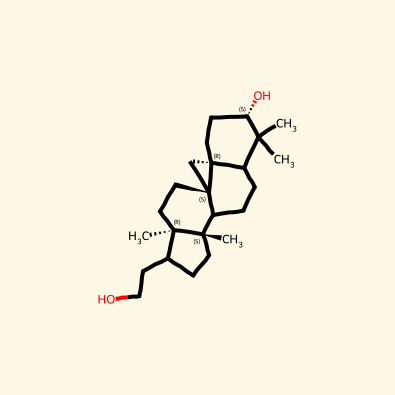 CC1(C)C2CCC3[C@]4(CC[C@]5(C)C(CCO)CC[C@@]35C)C[C@]24CC[C@@H]1O